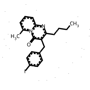 CCCCc1nc2cccc(C)n2c(=O)c1Cc1ccc(I)cc1